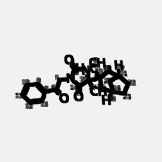 CN1C(=O)N(CC(=O)c2ccccc2)C(=O)C1(C)C1(C)C[C@@H]2CC[C@@H](C2)C1